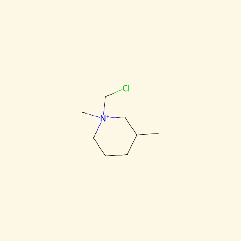 CC1CCC[N+](C)(CCl)C1